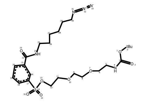 CC(C)(C)OC(=O)NCCOCCOCCOS(=O)(=O)c1cccc(C(=O)NCCCCCCN=[N+]=[N-])c1